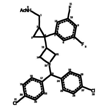 CC(=O)NCC1CC1(c1cc(F)cc(F)c1)C1CN(C(c2ccc(Cl)cc2)c2ccc(Cl)cc2)C1